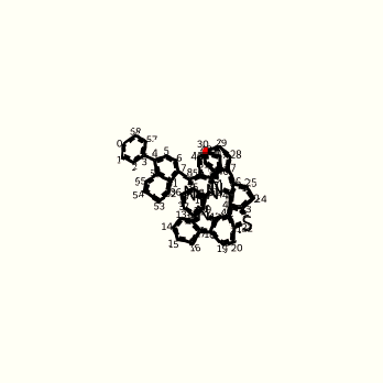 c1ccc(-c2ccc(-c3nc(-n4c5ccccc5c5ccc6sc7ccc8c9ccccc9n(-c9ccccc9)c8c7c6c54)nc4ccccc34)c3ccccc23)cc1